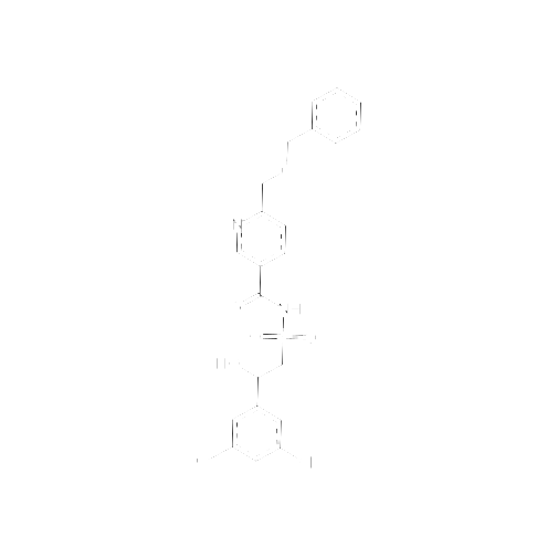 O=C(NS(=O)(=O)CC(O)c1cc(Cl)cc(Cl)c1)c1ccc(COCc2ccccc2)nc1